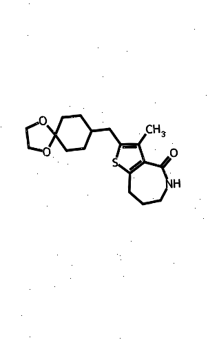 Cc1c(CC2CCC3(CC2)OCCO3)sc2c1C(=O)NCCC2